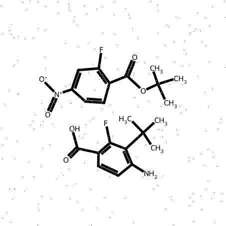 CC(C)(C)OC(=O)c1ccc([N+](=O)[O-])cc1F.CC(C)(C)c1c(N)ccc(C(=O)O)c1F